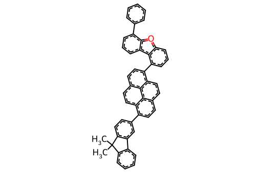 CC1(C)c2ccccc2-c2cc(-c3ccc4ccc5c(-c6cccc7oc8c(-c9ccccc9)cccc8c67)ccc6ccc3c4c65)ccc21